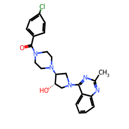 Cc1nc(N2C[C@H](O)[C@@H](N3CCN(C(=O)c4ccc(Cl)cc4)CC3)C2)c2ccccc2n1